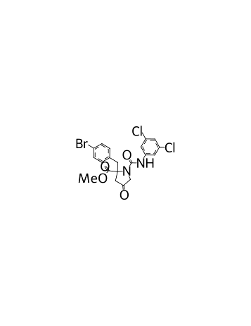 COC(=O)C1(Cc2ccc(Br)cc2)CC(=O)CN1C(=O)Nc1cc(Cl)cc(Cl)c1